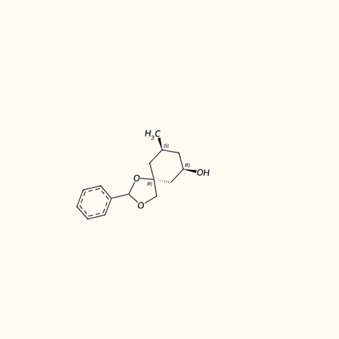 C[C@H]1C[C@@H](O)C[C@@]2(COC(c3ccccc3)O2)C1